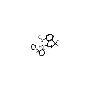 CSc1cccc(C(F)(F)F)c1C(=O)N[C@H]1CCC[C@H]1N1CCCC1